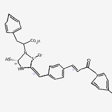 O=C(/C=C/c1ccc(/C=C2/N[C@H](S)N(C(Cc3ccccc3)C(=O)O)[S+]2[O-])cc1)c1ccc(Cl)cc1